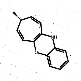 C[C@H]1C=CC2=C(C=C1)Oc1ccccc1N2